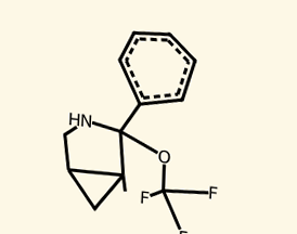 CC12CC1CNC2(OC(F)(F)F)c1ccccc1